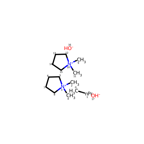 CCCC.C[N+]1(C)CCCC1.C[N+]1(C)CCCC1.[OH-].[OH-]